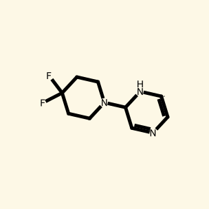 FC1(F)CCN(C2C=NC=[C]N2)CC1